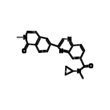 CN(C(=O)c1ccc2ncc(-c3ccc4c(=O)n(C)ccc4c3)nc2c1)C1CC1